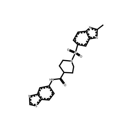 Cc1nc2ccc(S(=O)(=O)N3CCC(C(=O)Nc4ccc5scnc5c4)CC3)cc2s1